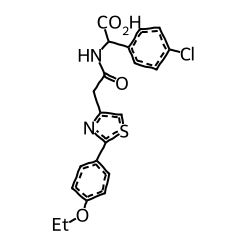 CCOc1ccc(-c2nc(CC(=O)NC(C(=O)O)c3ccc(Cl)cc3)cs2)cc1